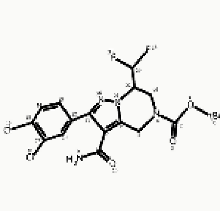 CC(C)(C)OC(=O)N1Cc2c(C(N)=O)c(-c3ccc(Cl)c(Cl)c3)nn2C(C(F)F)C1